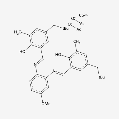 CC(=O)[O-].CC(=O)[O-].COc1ccc(N=Cc2cc(CC(C)(C)C)cc(C)c2O)c(N=Cc2cc(CC(C)(C)C)cc(C)c2O)c1.[Co+2]